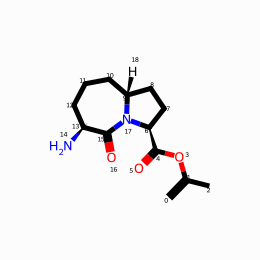 C=C(C)OC(=O)[C@@H]1CC[C@H]2CCC[C@H](N)C(=O)N21